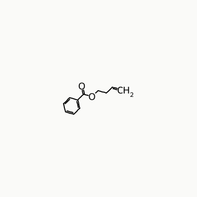 C=CCCOC(=O)c1ccccc1